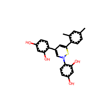 Cc1ccc(C2=CC(c3ccc(O)cc3O)=CN(c3ccc(O)cc3O)S2)c(C)c1